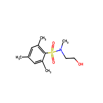 Cc1cc(C)c(S(=O)(=O)N(C)CCO)c(C)c1